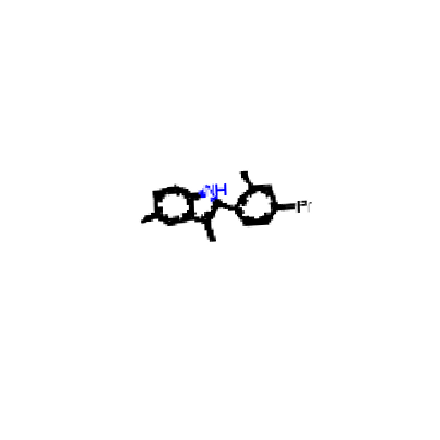 Cc1ccc2[nH]c(-c3ccc(C(C)C)cc3C)c(C)c2c1